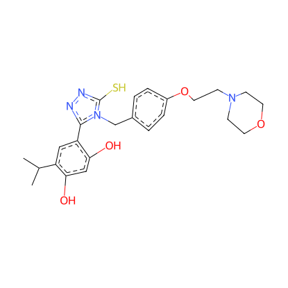 CC(C)c1cc(-c2nnc(S)n2Cc2ccc(OCCN3CCOCC3)cc2)c(O)cc1O